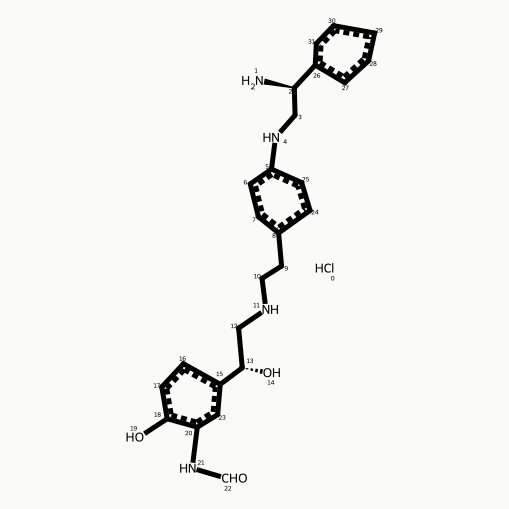 Cl.N[C@H](CNc1ccc(CCNC[C@H](O)c2ccc(O)c(NC=O)c2)cc1)c1ccccc1